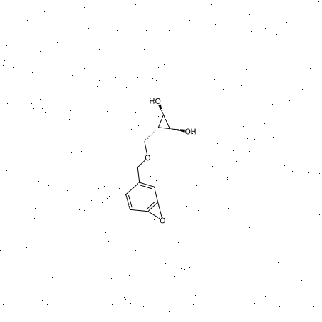 O[C@@H]1[C@H](O)[C@H]1COCc1ccc2c(c1)O2